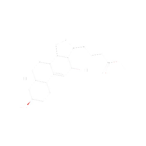 COC(=O)CC[C@@H](C)C1CCC2C3CC[C@@H]4C[C@H](O)CC[C@]4(C)C3=CC(O)[C@@]21C